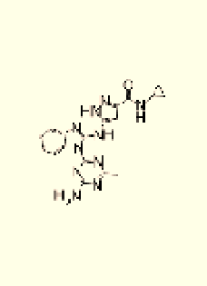 Cc1nc(N)nc(-n2c(Nc3cc(C(=O)NC4CC4)n[nH]3)nc3ccccc32)n1